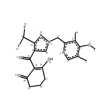 COc1c(C)cnc(Cn2cc(C(=O)C3=C(O)CCCC3=O)c(C(F)F)n2)c1C